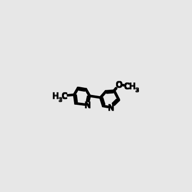 COc1cncc(-c2ccc(C)cn2)c1